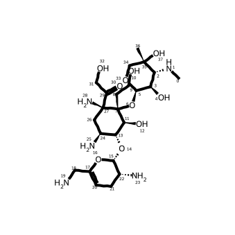 CN[C@@H]1[C@@H](O)[C@@H](O[C@]2(CCO)[C@@H](O)[C@H](O[C@H]3OC(CN)=CC[C@H]3N)[C@@H](N)C[C@]2(N)C(=O)CO)OC[C@]1(C)O